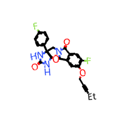 CCC#CCOc1cc2c(cc1F)C(=O)N(CC1(c3ccc(F)cc3)NC(=O)NC1=O)C2